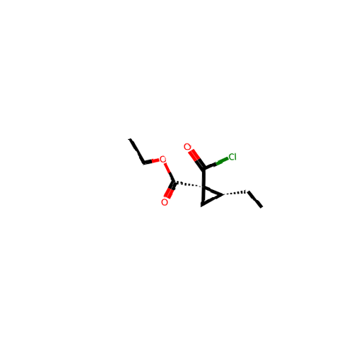 CCOC(=O)[C@@]1(C(=O)Cl)C[C@H]1CC